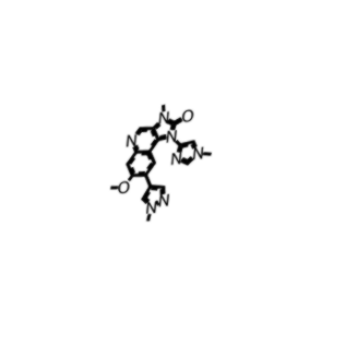 COc1cc2ncc3c(c2cc1-c1cnn(C)c1)n(-c1cn(C)cn1)c(=O)n3C